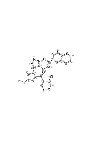 CCc1cc(C(=O)c2ccccc2Cl)c(-n2cnnc2CNC(=O)c2cnc3ccccc3c2)s1